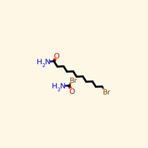 NC(=O)Br.NC(=O)CCCCCCCCCCBr